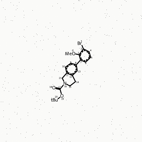 COc1c(Br)cccc1-c1ccc2c(c1)CCN(C(=O)OC(C)(C)C)C2